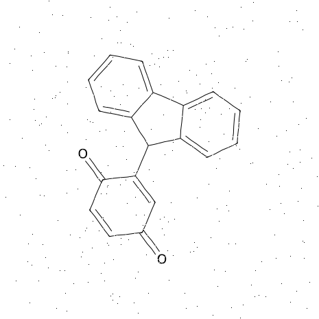 O=C1C=CC(=O)C(C2c3ccccc3-c3ccccc32)=C1